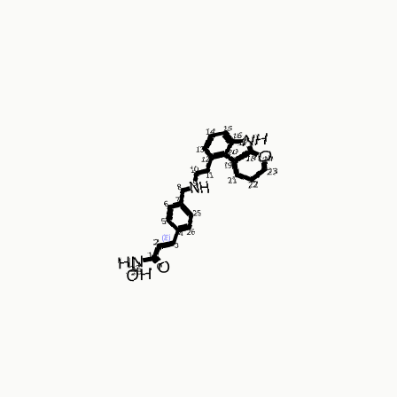 O=C(/C=C/c1ccc(CNCCc2cccc3[nH]c4c(c23)CCCO4)cc1)NO